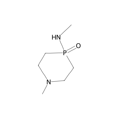 CNP1(=O)CCN(C)CC1